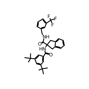 CC(C)(C)c1cc(C(=O)NC2(C(=O)NCc3cccc(C(F)(F)F)c3)Cc3ccccc3C2)cc(C(C)(C)C)c1